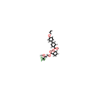 C=CCOc1ccc(-c2ccc(C(=O)Oc3ccccc3C(=O)OCCC(OC)C(F)(F)F)cc2)cc1